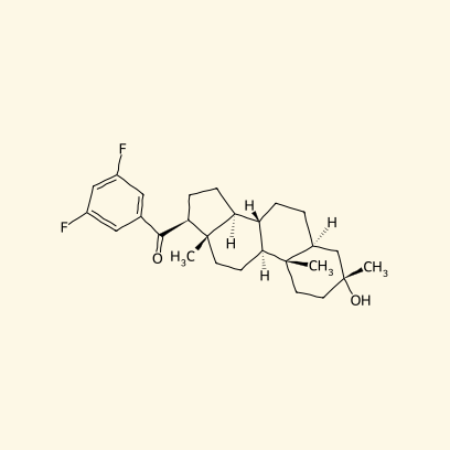 C[C@@]1(O)CC[C@@]2(C)[C@@H](CC[C@@H]3[C@@H]2CC[C@]2(C)[C@@H](C(=O)c4cc(F)cc(F)c4)CC[C@@H]32)C1